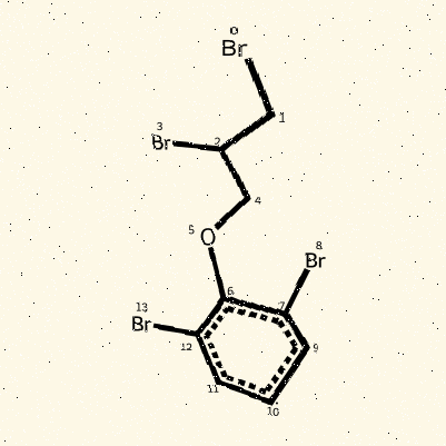 BrCC(Br)COc1c(Br)c[c]cc1Br